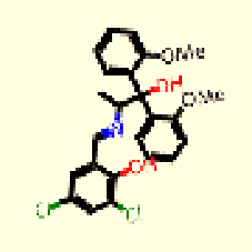 COc1ccccc1C(O)(c1ccccc1OC)C(C)N=Cc1cc(Cl)cc(Cl)c1O